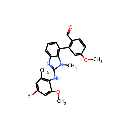 COc1ccc(C=O)c(-c2cccc3nc(Nc4c(C)cc(Br)cc4OC)n(C)c23)c1